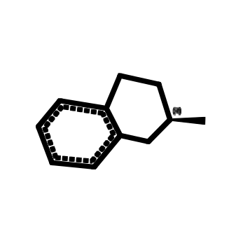 C[C@@H]1CCc2ccccc2C1